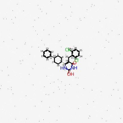 O=C1NC(O)NC([C@H]2CC[C@H](c3ccccc3)CC2)=C1Cc1c(Cl)cccc1Cl